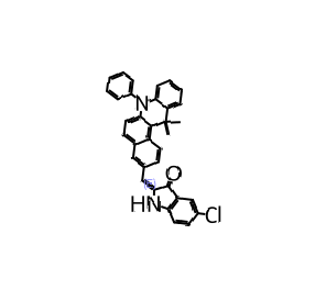 CC1(C)c2ccccc2N(c2ccccc2)c2ccc3cc(/C=C4/Nc5ccc(Cl)cc5C4=O)ccc3c21